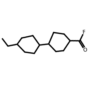 CCC1CCC(C2CCC(C(=O)F)CC2)CC1